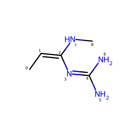 C/C=C(\N=C(N)N)NC